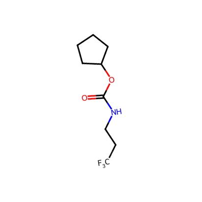 O=C(NCCC(F)(F)F)OC1CCCC1